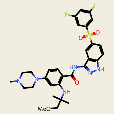 COCC(C)(C)Nc1cc(N2CCN(C)CC2)ccc1C(=O)Nc1n[nH]c2ccc(S(=O)(=O)c3cc(F)cc(F)c3)cc12